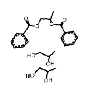 CC(COC(=O)c1ccccc1)OC(=O)c1ccccc1.CC(O)CO.CC(O)CO